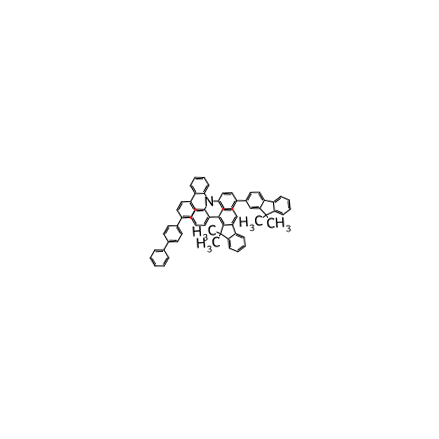 CC1(C)c2ccccc2-c2ccc(-c3ccc(N(c4ccccc4-c4ccc(-c5ccc(-c6ccccc6)cc5)cc4)c4ccccc4-c4cccc5c4C(C)(C)c4ccccc4-5)cc3)cc21